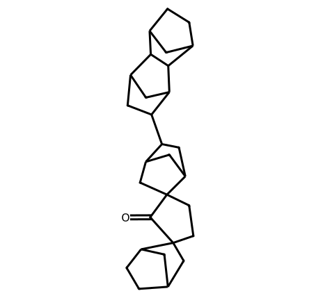 O=C1C2(CCC13CC1CC3CC1C1CC3CC1C1C4CCC(C4)C31)CC1CCC2C1